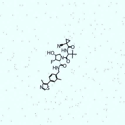 Cc1cc(-c2scnc2C)ccc1CNC(=O)[C@@H]1[C@@H](F)[C@@H](O)CN1C(=O)[C@@H](NC(=O)C1(C#N)CC1)C(C)(C)C